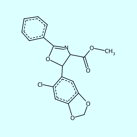 COC(=O)C1N=C(c2ccccc2)OC1c1cc2c(cc1Cl)OCO2